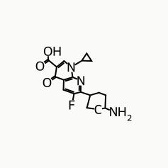 NC1CCC(c2nc3c(cc2F)c(=O)c(C(=O)O)cn3C2CC2)CC1